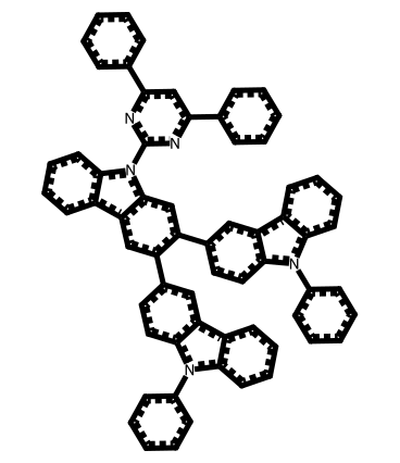 c1ccc(-c2cc(-c3ccccc3)nc(-n3c4ccccc4c4cc(-c5ccc6c(c5)c5ccccc5n6-c5ccccc5)c(-c5ccc6c(c5)c5ccccc5n6-c5ccccc5)cc43)n2)cc1